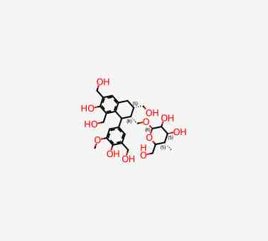 COc1cc(C2c3c(cc(CO)c(O)c3CO)C[C@H](CO)[C@@H]2CO[C@@H]2OC(CO)[C@@H](C)[C@H](O)C2O)cc(CO)c1O